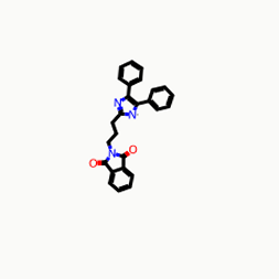 O=C1c2ccccc2C(=O)N1CCCC1=NC(c2ccccc2)=C(c2ccccc2)[N]1